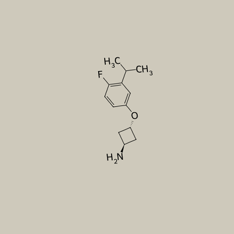 CC(C)c1cc(O[C@H]2C[C@H](N)C2)ccc1F